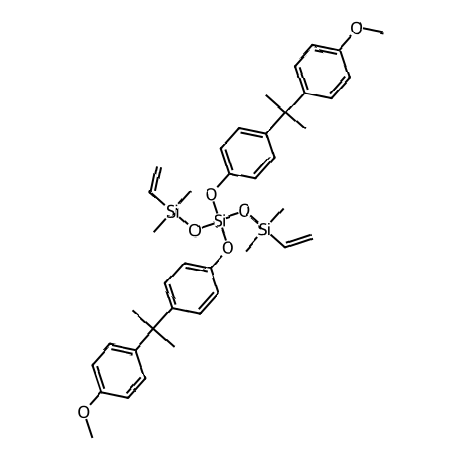 C=C[Si](C)(C)O[Si](Oc1ccc(C(C)(C)c2ccc(OC)cc2)cc1)(Oc1ccc(C(C)(C)c2ccc(OC)cc2)cc1)O[Si](C)(C)C=C